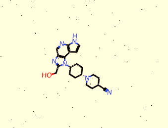 N#CC1CCN([C@H]2CC[C@H](n3c(CO)nc4cnc5[nH]ccc5c43)CC2)CC1